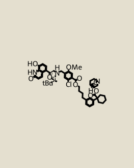 COc1cc(C(=O)OCCCCc2cccc(C3(C(=O)O[C@H]4CN5CCC4CC5)CCCCC3)c2)c(Cl)cc1CNC[C@@H](O[Si](C)(C)C(C)(C)C)c1ccc(O)c2[nH]c(=O)ccc12